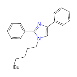 CCC(C)CCCCn1cc(-c2ccccc2)nc1-c1ccccc1